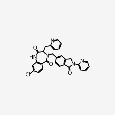 O=C1Nc2cc(Cl)ccc2C(=O)N(Cc2ccc3c(c2)CN(c2ccccn2)C3=O)C1Cc1ccccn1